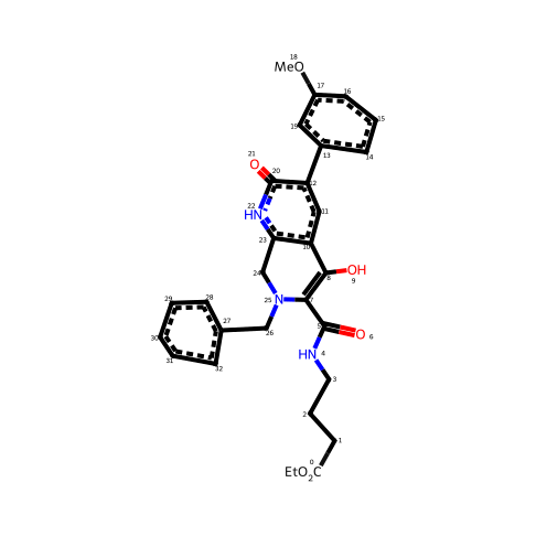 CCOC(=O)CCCNC(=O)C1=C(O)c2cc(-c3cccc(OC)c3)c(=O)[nH]c2CN1Cc1ccccc1